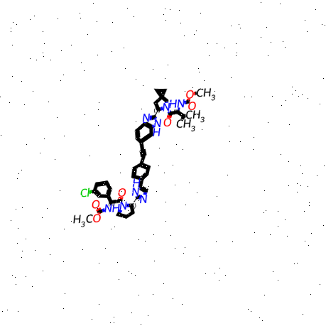 COC(=O)N[C@H](C(=O)N1CC2(CC2)C[C@H]1c1nc2ccc(C#Cc3ccc(-c4cnc([C@@H]5CCCN5C(=O)[C@H](NC(=O)OC)c5cccc(Cl)c5)[nH]4)cc3)cc2[nH]1)C(C)C